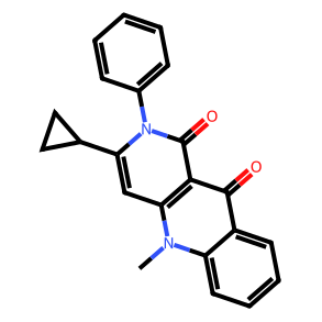 Cn1c2ccccc2c(=O)c2c(=O)n(-c3ccccc3)c(C3CC3)cc21